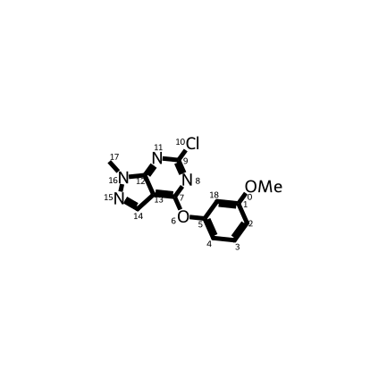 COc1cccc(Oc2nc(Cl)nc3c2cnn3C)c1